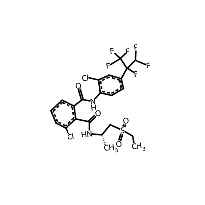 CCS(=O)(=O)C[C@H](C)NC(=O)c1c(Cl)cccc1C(=O)Nc1ccc(C(F)(C(F)F)C(F)(F)F)cc1Cl